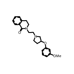 COc1cccc(OC2CCN(CCN3CCc4ccccc4C3=O)C2)c1